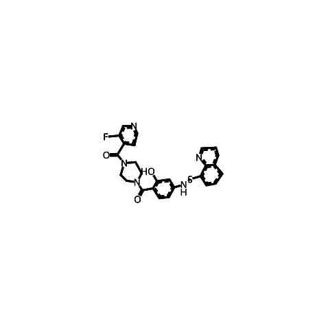 O=C(c1ccc(NSc2cccc3cccnc23)cc1O)N1CCN(C(=O)c2ccncc2F)CC1